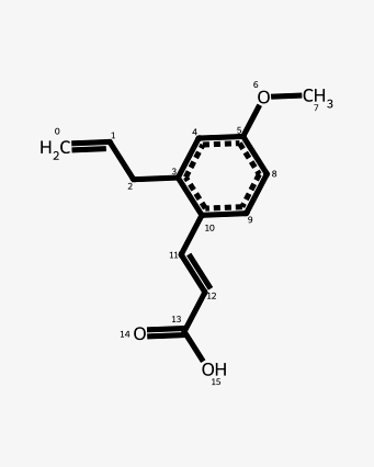 C=CCc1cc(OC)ccc1C=CC(=O)O